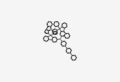 c1ccc(-c2ccc(-c3ccc(N(c4ccc5c(c4)C4(c6ccccc6-5)c5ccccc5-n5c6ccccc6c6cccc4c65)c4cc5c(c6ccccc46)-c4ccccc4C5(c4ccccc4)c4ccccc4)cc3)cc2)cc1